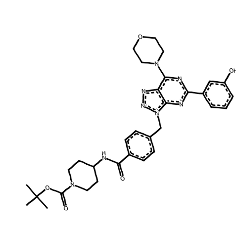 CC(C)(C)OC(=O)N1CCC(NC(=O)c2ccc(Cn3nnc4c(N5CCOCC5)nc(-c5cccc(O)c5)nc43)cc2)CC1